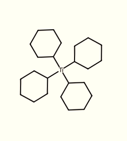 C1CC[CH]([Ti]([CH]2CCCCC2)([CH]2CCCCC2)[CH]2CCCCC2)CC1